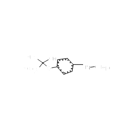 CCCCCCCNCc1ccc(OC(C)(C)C(=O)OCC)cc1